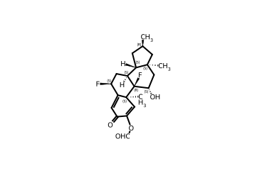 C[C@@H]1C[C@H]2[C@@H]3C[C@H](F)C4=CC(=O)C(OC=O)=C[C@]4(C)[C@@]3(F)[C@@H](O)C[C@]2(C)C1